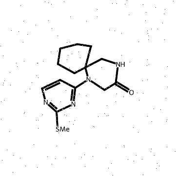 CSc1nccc(N2CC(=O)NCC23CCCCC3)n1